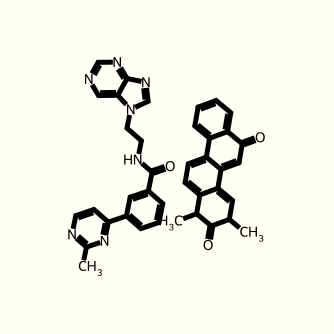 CC1C=c2c(ccc3c2=CC(=O)c2ccccc2-3)C(C)C1=O.Cc1nccc(-c2cccc(C(=O)NCCn3cnc4ncncc43)c2)n1